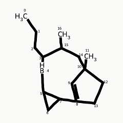 CCCC1BC2CC2C2=CC(C)(CC2)CC1C